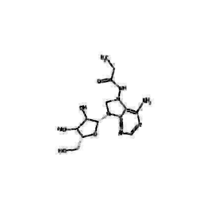 CCC(=O)NN1CN([C@@H]2O[C@H](CO)C(O)C2O)c2ncnc(N)c21